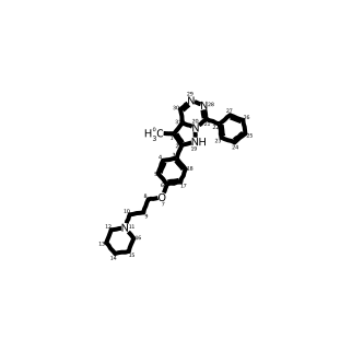 CC1=C(c2ccc(OCCCN3CCCCC3)cc2)NN2C(c3ccccc3)=NN=CC12